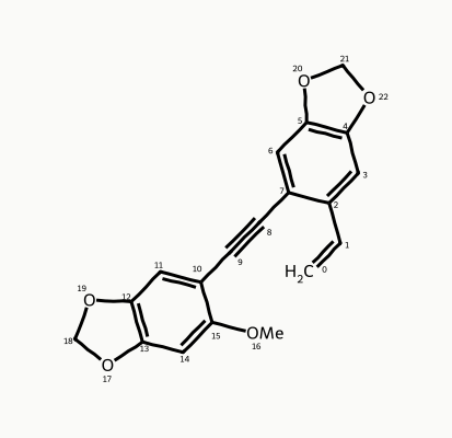 C=Cc1cc2c(cc1C#Cc1cc3c(cc1OC)OCO3)OCO2